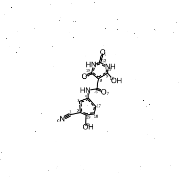 N#Cc1cc(NC(=O)c2c(O)[nH]c(=O)[nH]c2=O)ccc1O